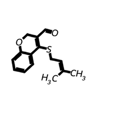 CC(C)=CCSC1=C(C=O)COc2ccccc21